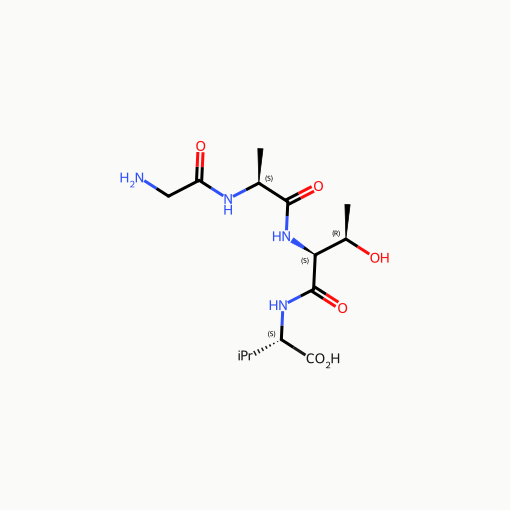 CC(C)[C@H](NC(=O)[C@@H](NC(=O)[C@H](C)NC(=O)CN)[C@@H](C)O)C(=O)O